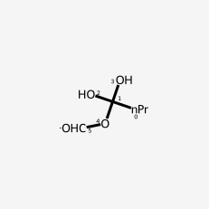 CCCC(O)(O)O[C]=O